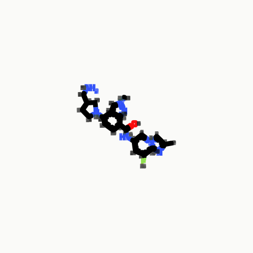 Cc1cn2cc(NC(=O)c3ccc(N4CCC(CN)C4)c4cn(C)nc34)cc(F)c2n1